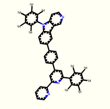 [2H]c1c([2H])c([2H])c(-c2cc(-c3ccc(-c4ccc5c(c4)c4cnccc4n5-c4c([2H])c([2H])c([2H])c([2H])c4[2H])cc3)cc(-c3ccccn3)n2)c([2H])c1[2H]